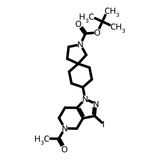 CC(=O)N1CCc2c(c(I)nn2C2CCC3(CC2)CCN(C(=O)OC(C)(C)C)C3)C1